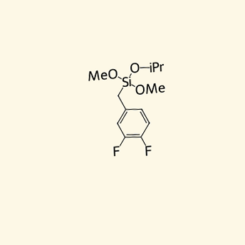 CO[Si](Cc1ccc(F)c(F)c1)(OC)OC(C)C